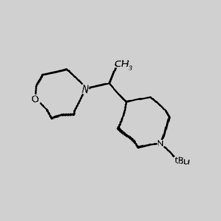 CC(C1CCN(C(C)(C)C)CC1)N1CCOCC1